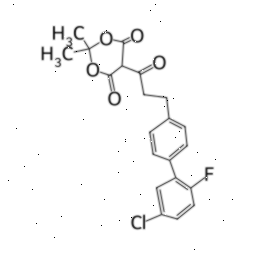 CC1(C)OC(=O)C(C(=O)CCc2ccc(-c3cc(Cl)ccc3F)cc2)C(=O)O1